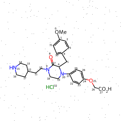 COc1ccc(CC2C(=O)N(CCC3CCNCC3)CCN2c2ccc(OCC(=O)O)cc2)cc1.Cl